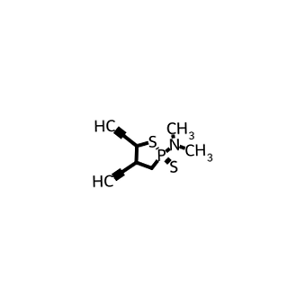 C#CC1CP(=S)(N(C)C)SC1C#C